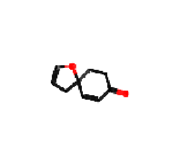 O=C1C=CC2(CC=CO2)CC1